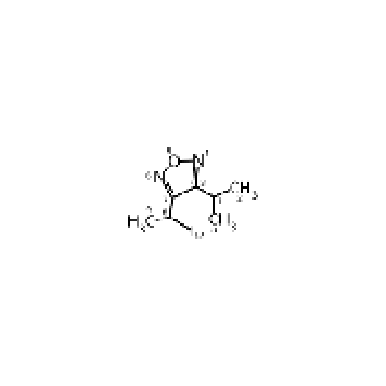 CC(C)c1nonc1C(C)I